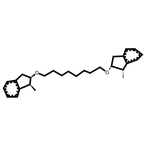 C[C@H]1c2ccccc2C[C@H]1OCCCCCCCCO[C@@H]1Cc2ccccc2[C@@H]1C